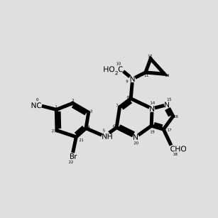 N#Cc1ccc(Nc2cc(N(C(=O)O)C3CC3)n3ncc(C=O)c3n2)c(Br)c1